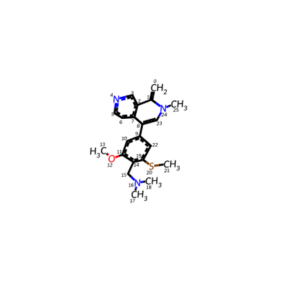 C=C1c2cnccc2C(c2cc(OC)c(CN(C)C)c(SC)c2)=CN1C